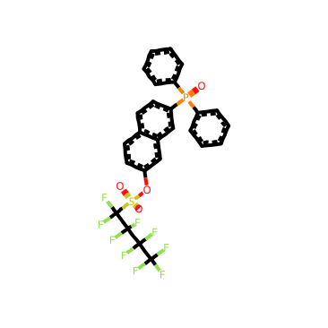 O=P(c1ccccc1)(c1ccccc1)c1ccc2ccc(OS(=O)(=O)C(F)(F)C(F)(F)C(F)(F)C(F)(F)F)cc2c1